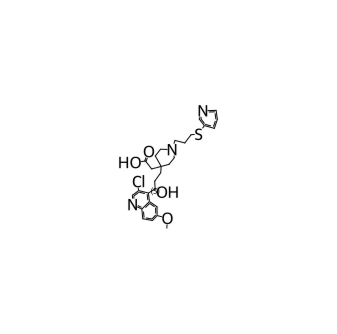 COc1ccc2ncc(Cl)c([C@@H](O)CCC3(CC(=O)O)CCN(CCCSc4cccnc4)CC3)c2c1